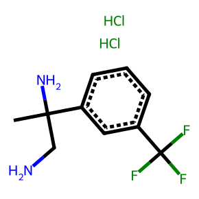 CC(N)(CN)c1cccc(C(F)(F)F)c1.Cl.Cl